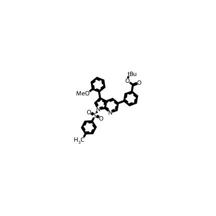 COc1ccccc1-c1cn(S(=O)(=O)c2ccc(C)cc2)c2ncc(-c3cccc(C(=O)OC(C)(C)C)c3)cc12